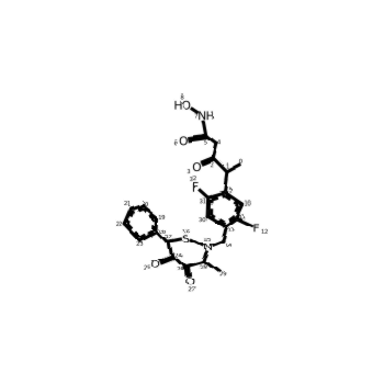 CC(C(=O)CC(=O)NO)c1cc(F)c(CN2SC(c3ccccc3)C(=O)C(=O)C2C)cc1F